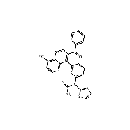 NC(=O)N(c1cccc(-c2c(C(=O)c3ccccc3)cnc3c(C(F)(F)F)cccc23)c1)c1cccs1